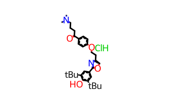 CN(C)CCCC(=O)c1ccc(OCCc2coc(-c3cc(C(C)(C)C)c(O)c(C(C)(C)C)c3)n2)cc1.Cl